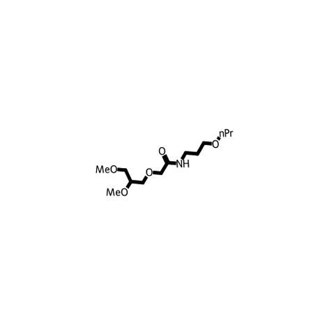 CCCOCCCNC(=O)COCC(COC)OC